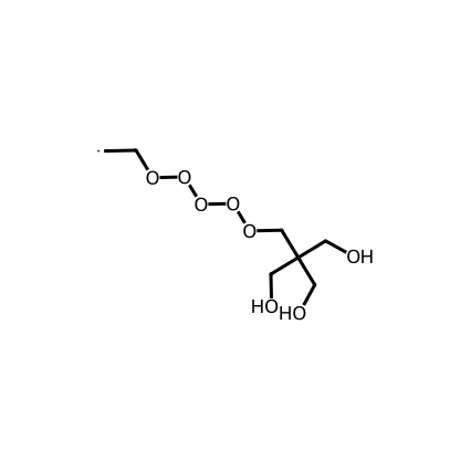 [CH2]COOOOOCC(CO)(CO)CO